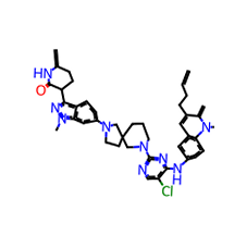 C=CCCC1=Cc2cc(Nc3nc(N4CCCC5(CCN(c6ccc7c(C8CCC(=C)NC8=O)nn(C)c7c6)C5)C4)ncc3Cl)ccc2N(C)C1=C